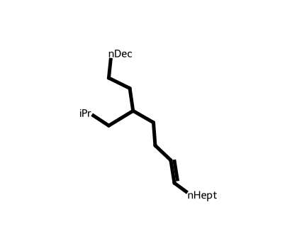 [CH2]CCCCCCC=CCCC(CCCCCCCCCCC[CH2])CC(C)C